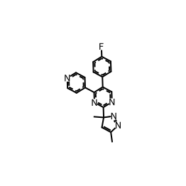 CC1=CC(C)(c2ncc(-c3ccc(F)cc3)c(-c3ccncc3)n2)N=N1